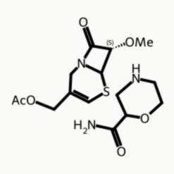 CO[C@H]1C(=O)N2CC(COC(C)=O)=CSC12.NC(=O)C1CNCCO1